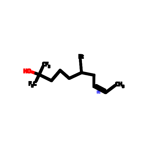 C/C=C\CC(CC)CCCC(O)(C(F)(F)F)C(F)(F)F